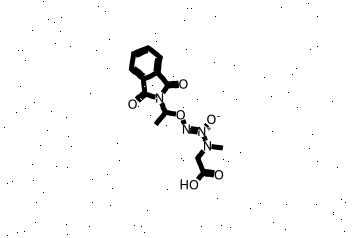 CC(O/N=[N+](\[O-])N(C)CC(=O)O)N1C(=O)c2ccccc2C1=O